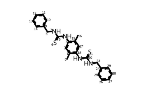 Cc1cc(NC(=S)NCc2ccccc2)c(C)cc1NC(=S)NCc1ccccc1